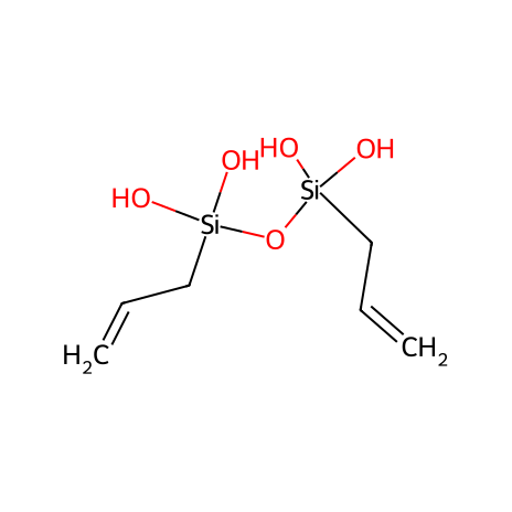 C=CC[Si](O)(O)O[Si](O)(O)CC=C